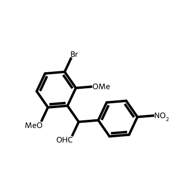 COc1ccc(Br)c(OC)c1C(C=O)c1ccc([N+](=O)[O-])cc1